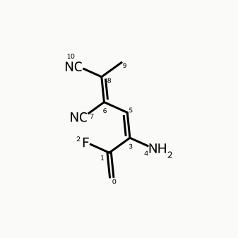 C=C(F)/C(N)=C\C(C#N)=C(/C)C#N